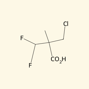 CC(CCl)(C(=O)O)C(F)F